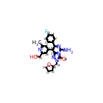 Cc1cc(-c2c(-c3ccc(F)cc3)nc(N)n3c(=O)n(C[C@H]4CCCO4)nc23)cc(CO)n1